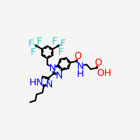 CCCCc1nc(-c2nc3cc(C(=O)NCCC(=O)O)ccc3n2Cc2cc(C(F)(F)F)cc(C(F)(F)F)c2)c[nH]1